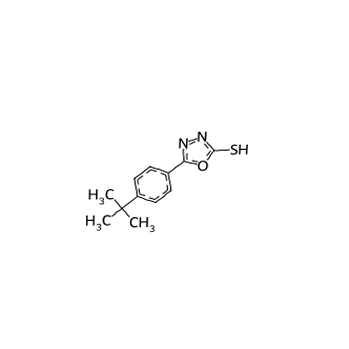 CC(C)(C)c1ccc(-c2nnc(S)o2)cc1